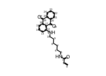 C=CC(=O)NCCCCCCNc1cccc2c1C(=O)c1ccccc1C2=O